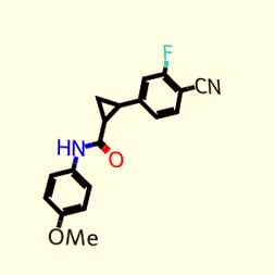 COc1ccc(NC(=O)C2CC2c2ccc(C#N)c(F)c2)cc1